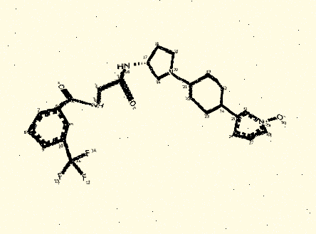 O=C(CNC(=O)c1cccc(C(F)(F)F)c1)N[C@@H]1CCN(C2CCC(c3ccc[n+]([O-])c3)CC2)C1